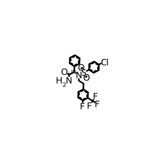 NC(=O)[C@@H](c1ccccc1)N(CCc1ccc(F)c(C(F)(F)F)c1)S(=O)(=O)c1ccc(Cl)cc1